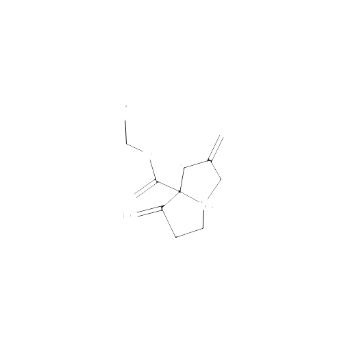 C=C1CCN2CC(=O)CC12C(=O)OCC